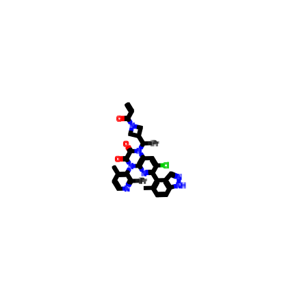 C=CC(=O)N1CC(C(C(C)C)n2c(=O)c(=O)n(-c3c(C)ccnc3C(C)C)c3nc(-c4c(C)ccc5[nH]ncc45)c(Cl)cc32)C1